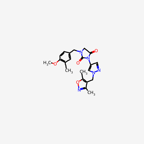 COc1ccc(CN2CC(=O)N(c3cnn(Cc4c(C)noc4C)c3)C2=O)cc1C